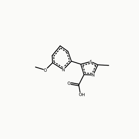 COc1cccc(-c2sc(C)nc2C(=O)O)n1